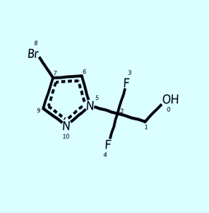 OCC(F)(F)n1cc(Br)cn1